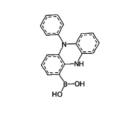 OB(O)c1cccc2c1Nc1ccccc1N2c1ccccc1